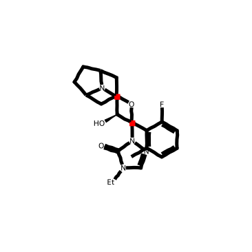 CCn1cnn(C[C@@H](O)CN2C3CCC2CC(OCc2c(C)cccc2F)C3)c1=O